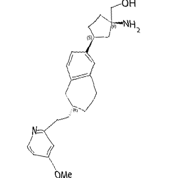 COc1ccnc(CC[C@H]2CCc3cc([C@H]4CC[C@](N)(CO)C4)ccc3C2)c1